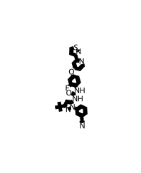 CC(C)(C)c1cc(NC(=O)Nc2ccc(Oc3ccnc(-c4ccsn4)c3)cc2F)n(-c2cccc(C#N)c2)n1